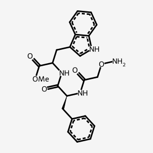 COC(=O)C(Cc1c[nH]c2ccccc12)NC(=O)[C@H](Cc1ccccc1)NC(=O)CON